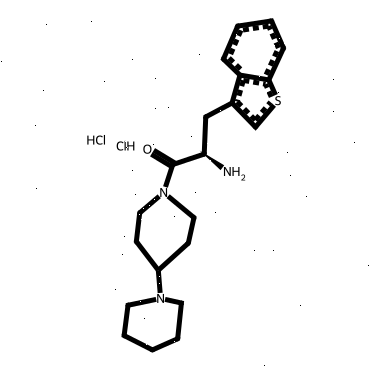 Cl.Cl.N[C@H](Cc1csc2ccccc12)C(=O)N1CCC(N2CCCCC2)CC1